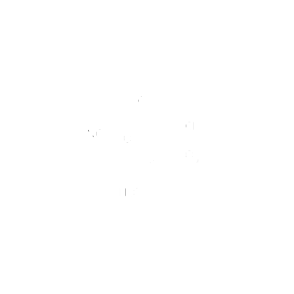 C=CC#N.COC(C)=O